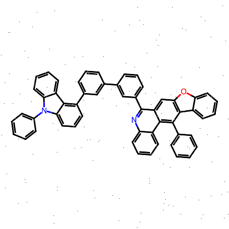 c1ccc(-c2c3c(cc4c(-c5cccc(-c6cccc(-c7cccc8c7c7ccccc7n8-c7ccccc7)c6)c5)nc5ccccc5c24)oc2ccccc23)cc1